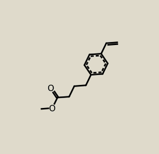 C=Cc1ccc(CCCC(=O)OC)cc1